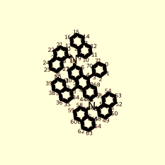 c1ccc(-c2c3cc(N(c4cccc5ccccc45)c4cccc5ccccc45)ccc3c(-c3cccc4ccccc34)c3cc(N(c4cccc5ccccc45)c4cccc5ccccc45)ccc23)cc1